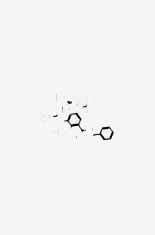 CCC(=O)Oc1cc(C(=O)OCc2ccccc2)c(C)c(OC(=O)CC)c1OC(=O)CC